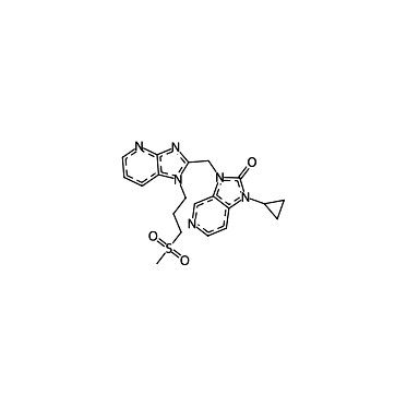 CS(=O)(=O)CCCn1c(Cn2c(=O)n(C3CC3)c3ccncc32)nc2ncccc21